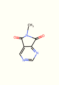 CN1C(=O)c2cncnc2C1=O